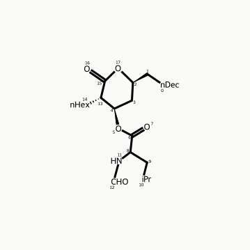 CCCCCCCCCCC[C@H]1C[C@@H](OC(=O)C(CC(C)C)NC=O)[C@H](CCCCCC)C(=O)O1